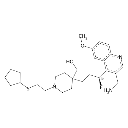 COc1ccc2ncc(CN)c([C@@H](F)CCC3(CO)CCN(CCSC4CCCC4)CC3)c2c1